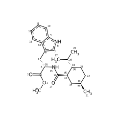 COC(=O)[C@H](Cc1c[nH]c2ccccc12)NC(=O)[C@@H]1C[C@H](C)CC[C@H]1C(C)C